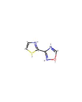 c1csc(-c2ncon2)n1